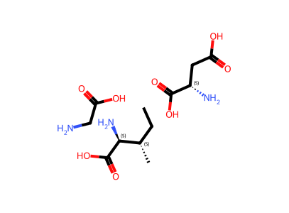 CC[C@H](C)[C@H](N)C(=O)O.NCC(=O)O.N[C@@H](CC(=O)O)C(=O)O